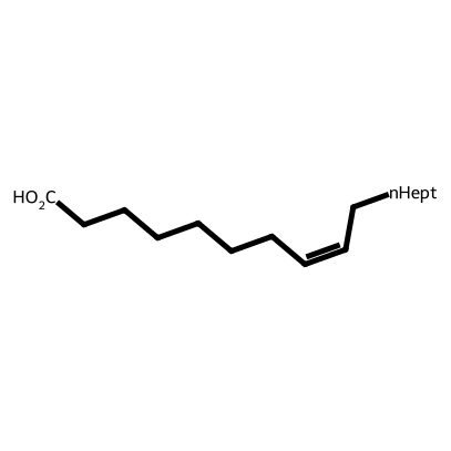 CCCCCCCC/C=C\CCCCCCC(=O)O